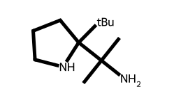 CC(C)(C)C1(C(C)(C)N)CCCN1